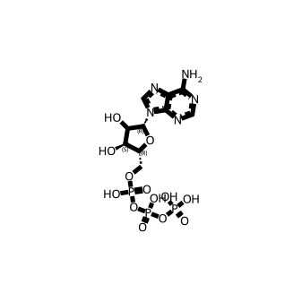 Nc1ncnc2c1ncn2[C@@H]1O[C@H](COP(=O)(O)OP(=O)(O)OP(=O)(O)O)[C@@H](O)C1O